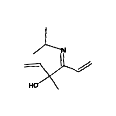 C=CC(=NC(C)C)C(C)(O)C=C